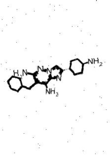 Nc1nn2cc([C@H]3CC[C@H](N)CC3)nc2c(N)c1CC1CCCCC1